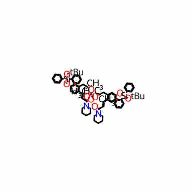 CC(C)(C)O[Si](Oc1ccc(/C=C/C(=O)N2CCCCC2)c(CC(C)(C)OC(=O)OC(C)(C)Cc2cc(O[Si](OC(C)(C)C)(c3ccccc3)c3ccccc3)ccc2/C=C/C(=O)N2CCCCC2)c1)(c1ccccc1)c1ccccc1